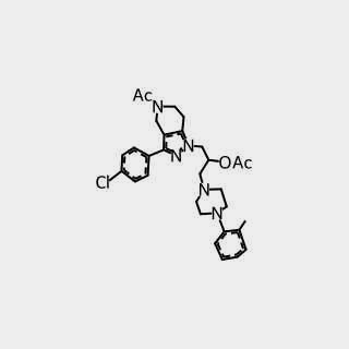 CC(=O)OC(CN1CCN(c2ccccc2C)CC1)Cn1nc(-c2ccc(Cl)cc2)c2c1CCN(C(C)=O)C2